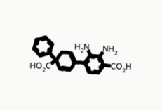 Nc1c(C(=O)O)ccc(C2=CCC(C(=O)O)(c3ccccc3)C=C2)c1N